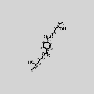 CCC(O)CCCOC(=O)c1ccc(C(=O)OCCCC(O)CC)cc1